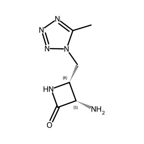 Cc1nnnn1C[C@H]1NC(=O)[C@H]1N